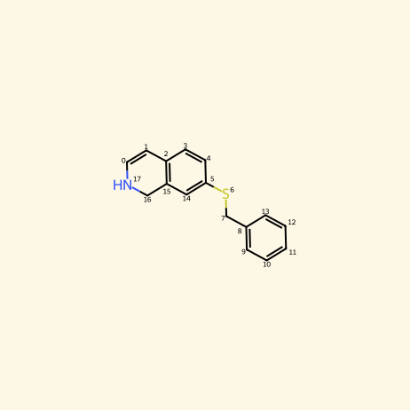 C1=Cc2ccc(SCc3ccccc3)cc2CN1